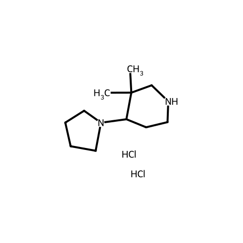 CC1(C)CNCCC1N1CCCC1.Cl.Cl